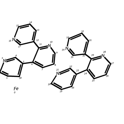 [Fe].c1cncc(-c2cccnc2-c2cccnc2)c1.c1cncc(-c2cccnc2-c2cccnc2)c1